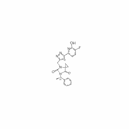 C[C@H](c1ccccc1)N1C(=O)N(Cc2nnc(-c3ccc(F)c(O)n3)s2)C2(CC2)C1=O